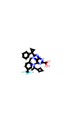 CC(Nc1nc(C(=O)O)nc2nc(C3(c4ccccc4)CC3)n(Cc3ccc(C(F)(F)F)cc3)c12)C1CCC1